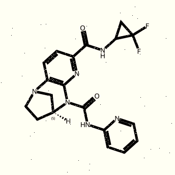 O=C(NC1CC1(F)F)c1ccc2c(n1)N(C(=O)Nc1ccccn1)[C@H]1CCN2C1